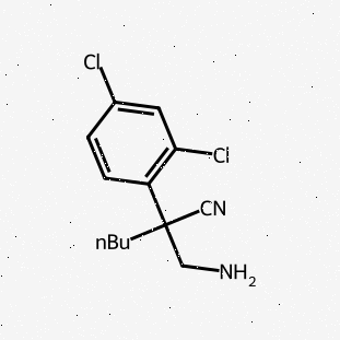 CCCCC(C#N)(CN)c1ccc(Cl)cc1Cl